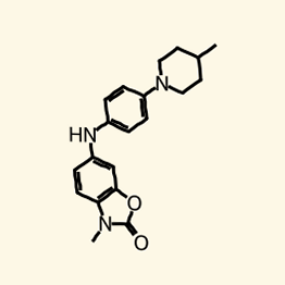 CC1CCN(c2ccc(Nc3ccc4c(c3)oc(=O)n4C)cc2)CC1